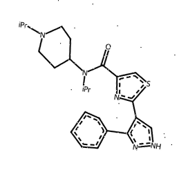 CC(C)N1CCC(N(C(=O)c2csc(-c3c[nH]nc3-c3ccccc3)n2)C(C)C)CC1